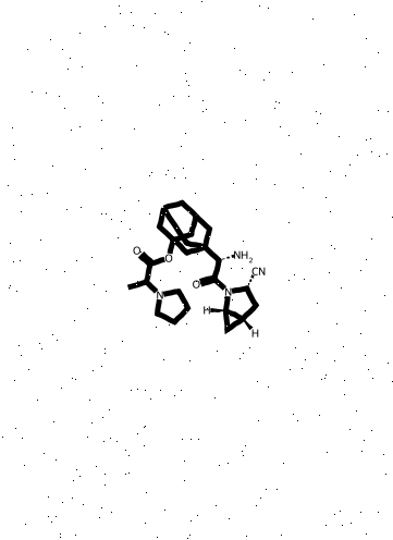 CC(C(=O)OC12CC3CC(C1)CC([C@H](N)C(=O)N1[C@H](C#N)C[C@@H]4C[C@@H]41)(C3)C2)N1CCCC1